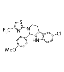 COc1ccc(C2c3[nH]c4ccc(Cl)cc4c3CCN2c2nc(C(F)(F)F)cs2)cc1